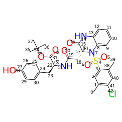 Cc1cc(S(=O)(=O)N2c3ccccc3NC(=O)[C@H]2CC(=O)N[C@@H](Cc2ccc(O)cc2)C(=O)OC(C)(C)C)c(C)cc1Cl